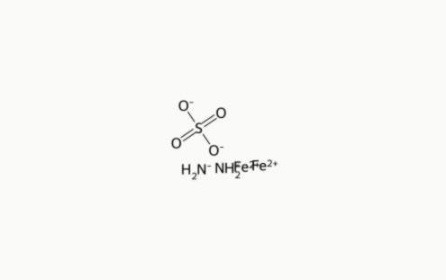 O=S(=O)([O-])[O-].[Fe+2].[Fe+2].[NH2-].[NH2-]